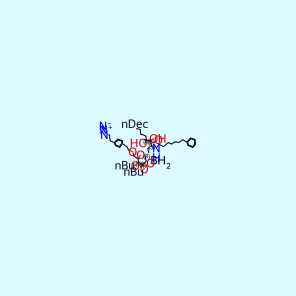 BOC1[C@@H](OCCCC)[C@@H](OCCCC)C(COCCc2ccc(CCN=[N+]=[N-])cc2)O[C@@H]1CC[C@H](NC(=O)CCCCCCc1ccccc1)[C@H](O)[C@H](O)CCCCCCCCCCCCCC